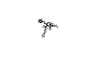 C[Si](C)(C)CCOCOC(=O)C1=C(CSc2cnns2)CS[C@H]2C(N)C(=O)N12